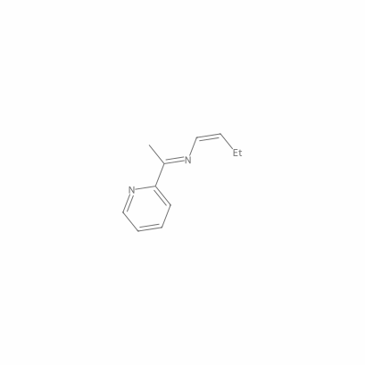 CC/C=C\N=C(/C)c1ccccn1